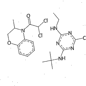 CC1COc2ccccc2N1C(=O)C(Cl)Cl.CCNc1nc(Cl)nc(NC(C)(C)C)n1